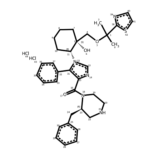 CC(C)(OC[C@]1(O)CCCC[C@H]1n1cnc(C(=O)N2CCNC[C@H]2Cc2ccccc2)c1-c1ccccc1)c1nccs1.Cl.Cl